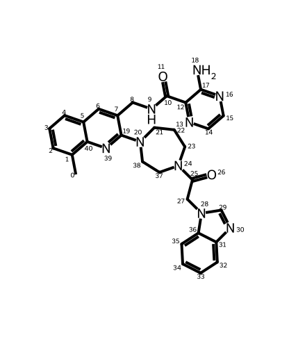 Cc1cccc2cc(CNC(=O)c3nccnc3N)c(N3CCCN(C(=O)Cn4cnc5ccccc54)CC3)nc12